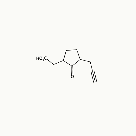 C#CCC1CCC(CC(=O)O)C1=O